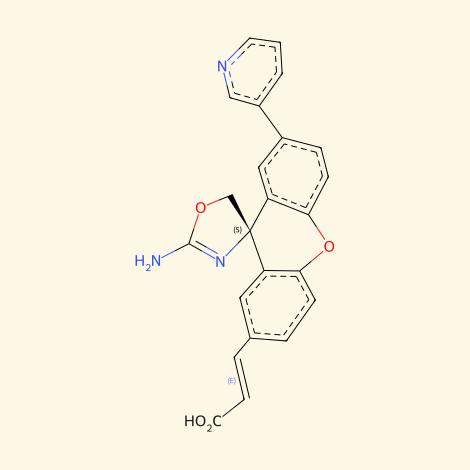 NC1=N[C@@]2(CO1)c1cc(/C=C/C(=O)O)ccc1Oc1ccc(-c3cccnc3)cc12